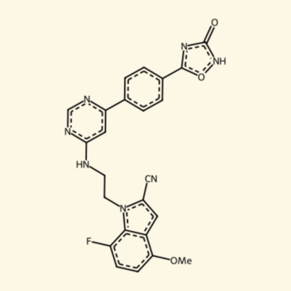 COc1ccc(F)c2c1cc(C#N)n2CCNc1cc(-c2ccc(-c3nc(=O)[nH]o3)cc2)ncn1